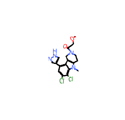 COCC(=O)N1CCc2c(c3c(-c4cn[nH]c4)cc(Cl)c(Cl)c3n2C)C1